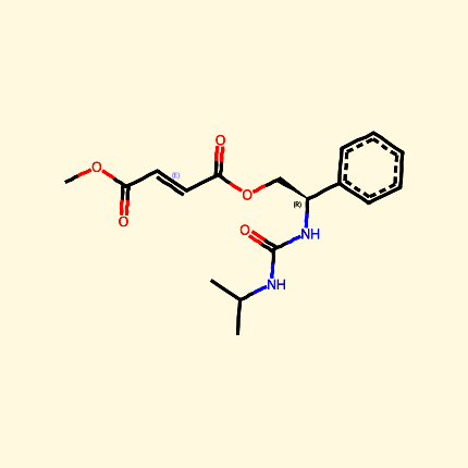 COC(=O)/C=C/C(=O)OC[C@H](NC(=O)NC(C)C)c1ccccc1